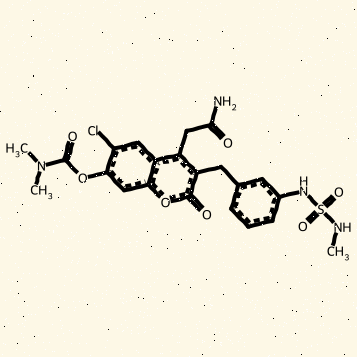 CNS(=O)(=O)Nc1cccc(Cc2c(CC(N)=O)c3cc(Cl)c(OC(=O)N(C)C)cc3oc2=O)c1